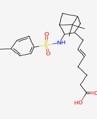 Cc1ccc(S(=O)(=O)NC2C(CC=CCCCC(=O)O)CC3CC2C3(C)C)cc1